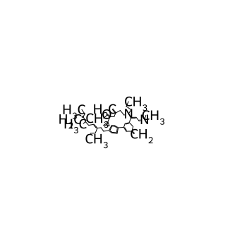 C=C1C=C(c2ccc(CC/C(=C/CC(C)(C)C(=C)CC)CCC)cc2)C=C(/C(=C\C=N/C)N(CCC)CCC(=C)CC(=O)C2CC2)C1